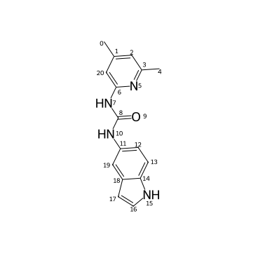 Cc1cc(C)nc(NC(=O)Nc2ccc3[nH]ccc3c2)c1